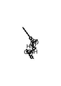 C=CC(=O)OCC(Cc1ccc(C)cc1)OC(=O)NCC1(C)CC(NC(=O)OC(COC(=O)C=C)COc2ccc(C#CC#CC#CC#CC)cc2)CC(C)(C)C1